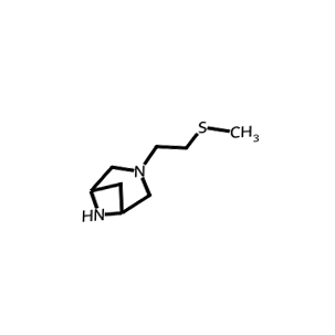 CSCCN1CC2CC(C1)N2